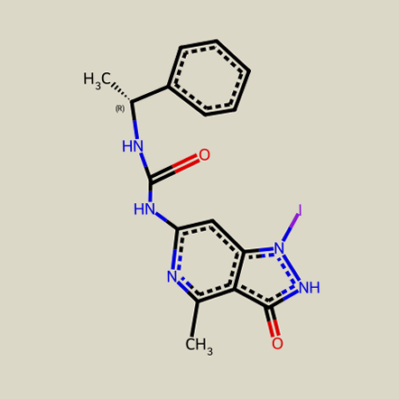 Cc1nc(NC(=O)N[C@H](C)c2ccccc2)cc2c1c(=O)[nH]n2I